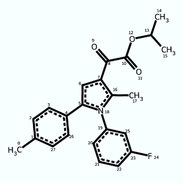 Cc1ccc(-c2cc(C(=O)C(=O)OC(C)C)c(C)n2-c2cccc(F)c2)cc1